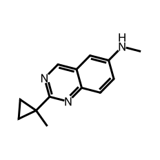 CNc1ccc2nc(C3(C)CC3)ncc2c1